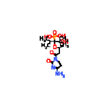 CC(C)C(O[C@@H](CO)CC(=O)n1ccc(N)nc1=O)(C(C)C)P(=O)(O)O